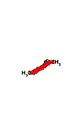 CCCCOc1ccc(C2=CCC(C3CCC(OCC4CCC(c5ccc(OCCCC)c(F)c5F)CC4)CC3)CC2)c(F)c1F